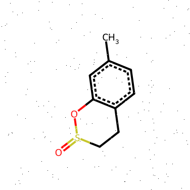 Cc1ccc2c(c1)OS(=O)CC2